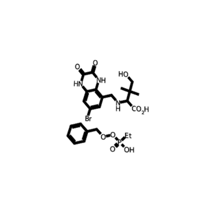 CC(C)(CO)C(NCc1cc(Br)cc2[nH]c(=O)c(=O)[nH]c12)C(=O)O.CCP(=O)(O)OOCc1ccccc1